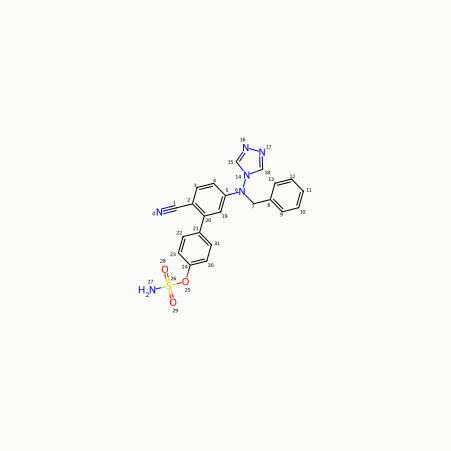 N#Cc1ccc(N(Cc2ccccc2)n2cnnc2)cc1-c1ccc(OS(N)(=O)=O)cc1